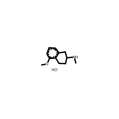 CNC1CCc2c(cccc2OC)C1.Cl